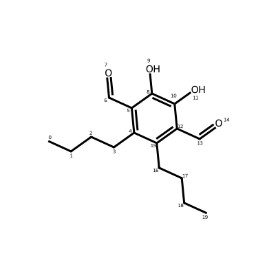 CCCCc1c(C=O)c(O)c(O)c(C=O)c1CCCC